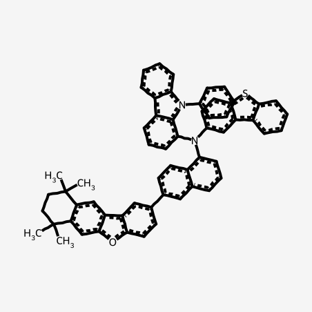 CC1(C)CCC(C)(C)c2cc3c(cc21)oc1ccc(-c2ccc4c(N(c5ccc6sc7ccccc7c6c5)c5cccc6c7ccccc7n(-c7ccccc7)c56)cccc4c2)cc13